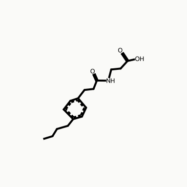 CCCCc1ccc(CCC(=O)NCCC(=O)O)cc1